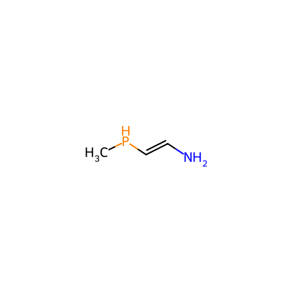 CPC=CN